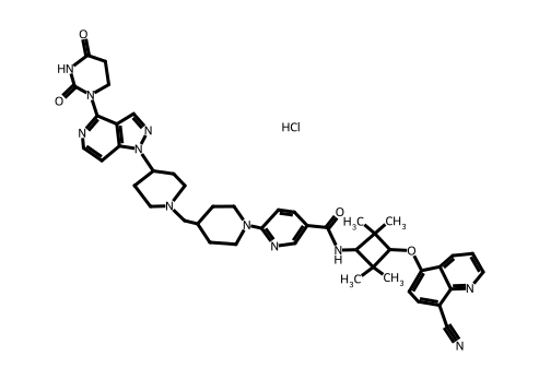 CC1(C)C(NC(=O)c2ccc(N3CCC(CN4CCC(n5ncc6c(N7CCC(=O)NC7=O)nccc65)CC4)CC3)nc2)C(C)(C)C1Oc1ccc(C#N)c2ncccc12.Cl